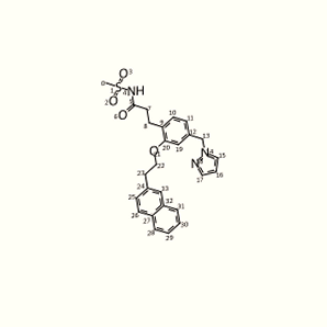 CS(=O)(=O)NC(=O)CCc1ccc(Cn2cccn2)cc1OCCc1ccc2ccccc2c1